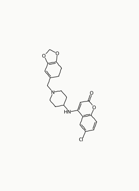 O=c1cc(NC2CCN(CC3=CC4=C(CC3)OCO4)CC2)c2cc(Cl)ccc2o1